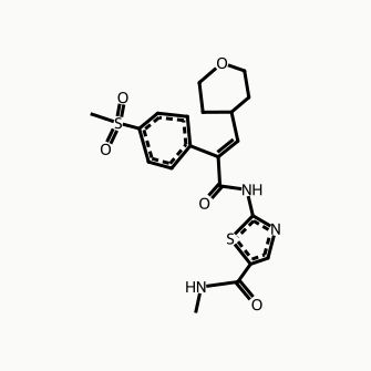 CNC(=O)c1cnc(NC(=O)/C(=C/C2CCOCC2)c2ccc(S(C)(=O)=O)cc2)s1